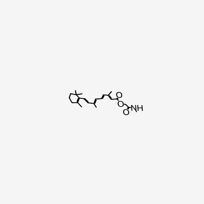 CNC(=O)COC(=O)C=C(C)C=CC=C(C)C=CC1=C(C)CCCC1(C)C